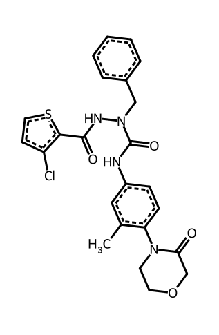 Cc1cc(NC(=O)N(Cc2ccccc2)NC(=O)c2sccc2Cl)ccc1N1CCOCC1=O